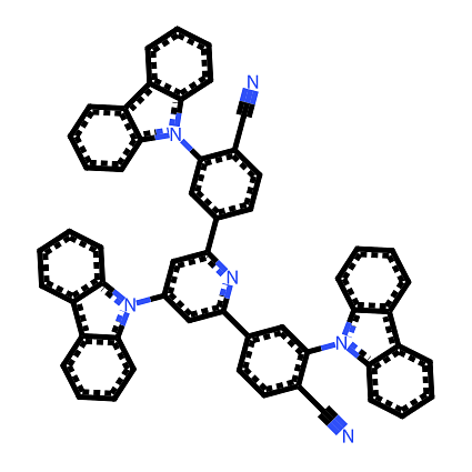 N#Cc1ccc(-c2cc(-n3c4ccccc4c4ccccc43)cc(-c3ccc(C#N)c(-n4c5ccccc5c5ccccc54)c3)n2)cc1-n1c2ccccc2c2ccccc21